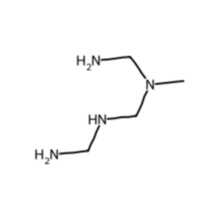 CN(CN)CNCN